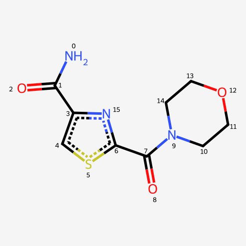 NC(=O)c1csc(C(=O)N2CCOCC2)n1